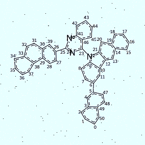 c1ccc2cc(-c3ccc4c(c3)c3cc5ccccc5cc3n4-c3nc(-c4ccc5c(ccc6ccccc65)c4)nc4ccccc34)ccc2c1